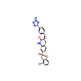 O=C1Nc2cc(S(=O)(=O)Cc3c(Cl)cccc3Cl)ccc2S/C1=C/c1ccc(-c2nn[nH]n2)cc1